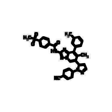 Cc1c(-c2ccnn2-c2ccc(C#N)cc2)cn2nc(NC(=O)c3ccc(S(C)(=O)=O)cc3)nc2c1-c1cccc(C(F)(F)F)c1